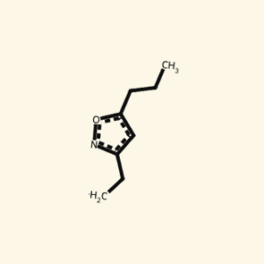 [CH2]Cc1cc(CCC)on1